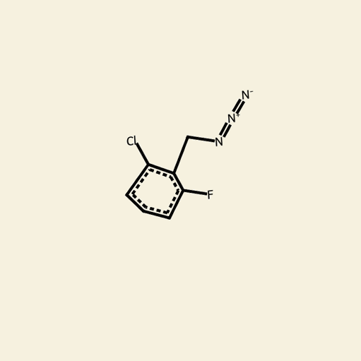 [N-]=[N+]=NCc1c(F)cccc1Cl